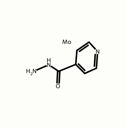 NNC(=O)c1ccncc1.[Mo]